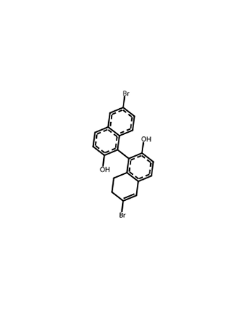 Oc1ccc2c(c1-c1c(O)ccc3cc(Br)ccc13)CCC(Br)=C2